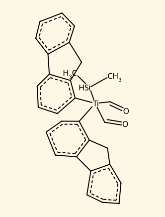 C[SiH](C)[Ti]([CH]=O)([CH]=O)([c]1cccc2c1Cc1ccccc1-2)[c]1cccc2c1Cc1ccccc1-2